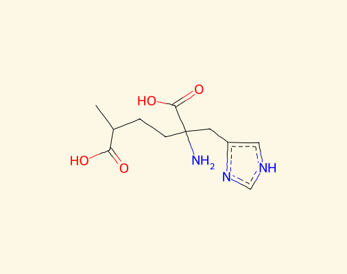 CC(CCC(N)(Cc1c[nH]cn1)C(=O)O)C(=O)O